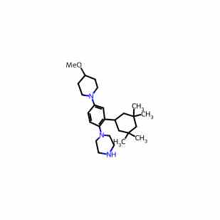 COC1CCN(c2ccc(N3CCNCC3)c(C3CC(C)(C)CC(C)(C)C3)c2)CC1